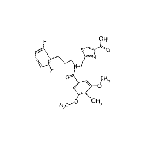 COc1cc(C(=O)N(CCCc2c(F)cccc2F)Cc2nc(C(=O)O)cs2)cc(OC)c1C